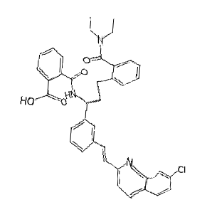 CCN(CC)C(=O)c1ccccc1CCC(NC(=O)c1ccccc1C(=O)O)c1cccc(C=Cc2ccc3ccc(Cl)cc3n2)c1